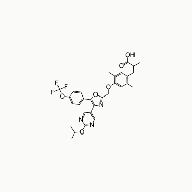 Cc1cc(OCc2nc(-c3cnc(OC(C)C)nc3)c(-c3ccc(OC(F)(F)F)cc3)o2)c(C)cc1CC(C)C(=O)O